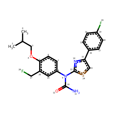 CC(C)COc1ccc(N(C(N)=O)c2nc(-c3ccc(F)cc3)cs2)cc1CF